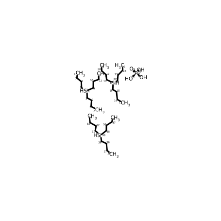 CCCC[SiH](CCCC)CCCC.CCCC[SiH](CCCC)CCCC.CCCC[SiH](CCCC)CCCC.O=P(O)(O)O